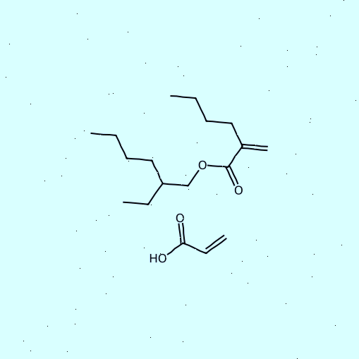 C=C(CCCC)C(=O)OCC(CC)CCCC.C=CC(=O)O